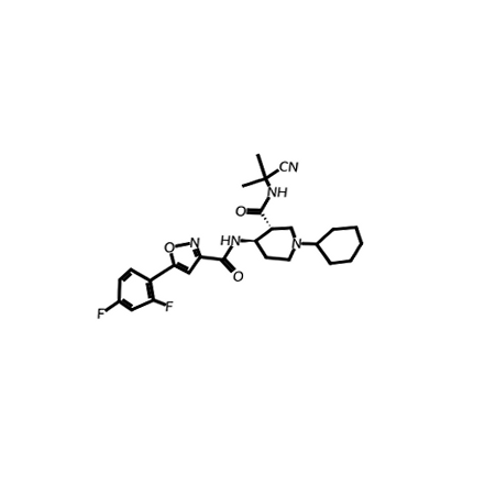 CC(C)(C#N)NC(=O)[C@@H]1CN(C2CCCCC2)CC[C@H]1NC(=O)c1cc(-c2ccc(F)cc2F)on1